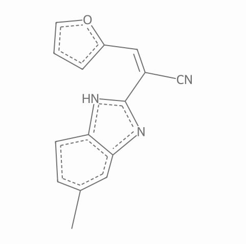 Cc1ccc2[nH]c(/C(C#N)=C\c3ccco3)nc2c1